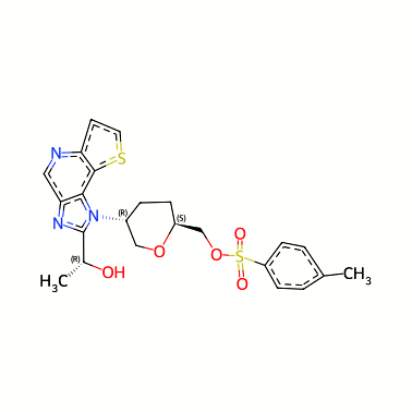 Cc1ccc(S(=O)(=O)OC[C@@H]2CC[C@@H](n3c([C@@H](C)O)nc4cnc5ccsc5c43)CO2)cc1